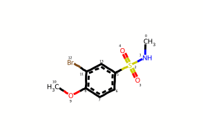 CNS(=O)(=O)c1ccc(OC)c(Br)c1